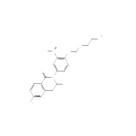 COCCOCOc1ccc(N2C(=O)c3ccc(Br)cc3CC2C)cc1[N+](=O)[O-]